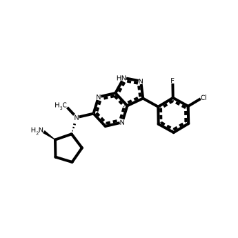 CN(c1cnc2c(-c3cccc(Cl)c3F)n[nH]c2n1)[C@@H]1CCC[C@H]1N